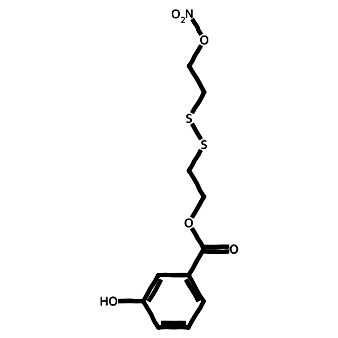 O=C(OCCSSCCO[N+](=O)[O-])c1cccc(O)c1